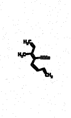 C=C/C=C\C(NC)=C(/C)C=C